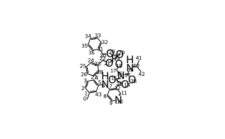 Cc1cccc(Nc2ccncc2S(=O)(=O)N(COP(=O)(OCc2ccccc2)OCc2ccccc2)C(=O)NC(C)C)c1